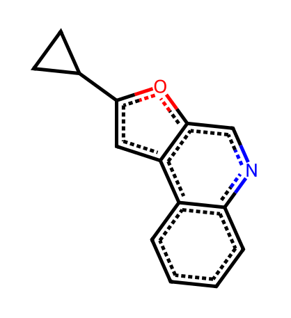 c1ccc2c(c1)ncc1oc(C3CC3)cc12